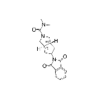 CN(C)C(=O)N1C[C@@H]2CC(N3C(=O)c4ccccc4C3=O)C[C@H]2C1